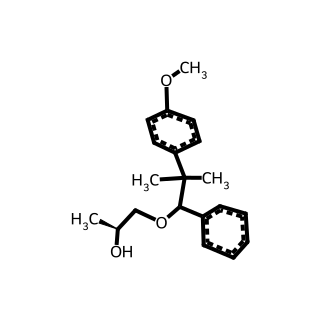 COc1ccc(C(C)(C)C(OC[C@H](C)O)c2ccccc2)cc1